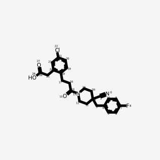 N#CC1(Cc2ccc(F)cc2)CCN(C(=O)CCc2ccc(Cl)cc2CC(=O)O)CC1